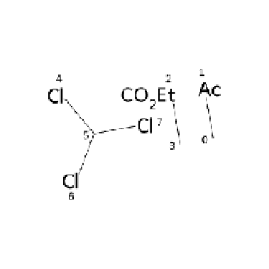 CC(C)=O.CCOC(C)=O.ClC(Cl)Cl